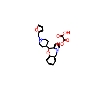 O=C(O)C(=O)O.c1coc(CN2CCC(C3Oc4ccccc4Cn4cccc43)CC2)c1